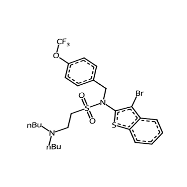 CCCCN(CCCC)CCS(=O)(=O)N(Cc1ccc(OC(F)(F)F)cc1)c1sc2ccccc2c1Br